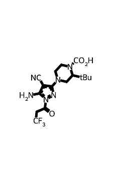 CC(C)(C)C1CN(c2nn(C(=O)CC(F)(F)F)c(N)c2C#N)CCN1C(=O)O